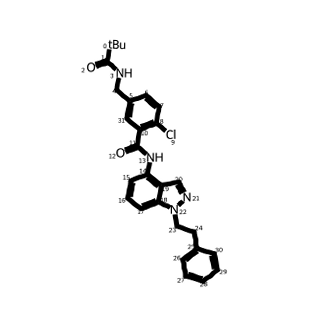 CC(C)(C)C(=O)NCc1ccc(Cl)c(C(=O)Nc2cccc3c2cnn3CCc2ccccc2)c1